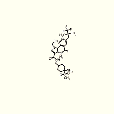 CCn1nc(C(=O)NCC2CCC(N)(S(C)(=O)=O)CC2)c(C)c1-c1cnc(CC(C)(C)C(F)(F)F)cc1C(F)F